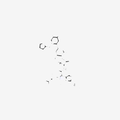 CC(C)(O/N=C(\C(=O)N[C@@H]1C(=O)N2C(C(=O)O)=C(C=Cc3cc(=O)c(O)cn3Cc3ccco3)CS[C@H]12)c1csc(N)n1)C(=O)O